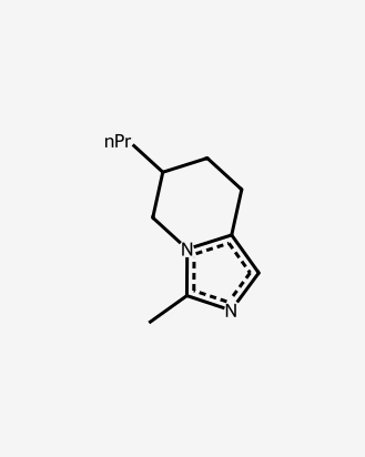 CCCC1CCc2cnc(C)n2C1